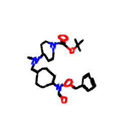 CN(CC1CCC(N(C=O)OCc2ccccc2)CC1)C1CCN(C(=O)OC(C)(C)C)CC1